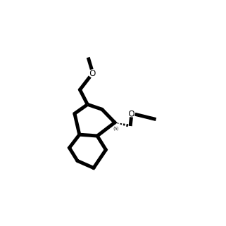 COCC1CC2CCCCC2[C@@H](COC)C1